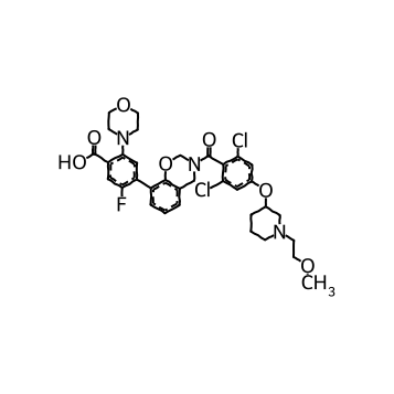 COCCN1CCCC(Oc2cc(Cl)c(C(=O)N3COc4c(cccc4-c4cc(N5CCOCC5)c(C(=O)O)cc4F)C3)c(Cl)c2)C1